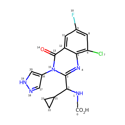 O=C(O)NC(c1nc2c(Cl)cc(F)cc2c(=O)n1-c1cn[nH]c1)C1CC1